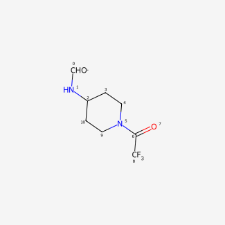 O=[C]NC1CCN(C(=O)C(F)(F)F)CC1